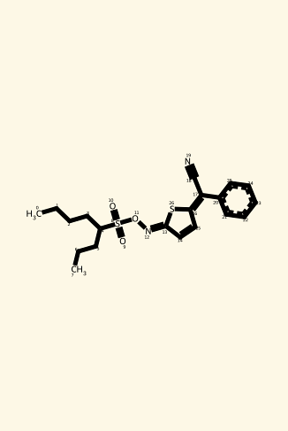 CCCCC(CCC)S(=O)(=O)ON=C1C=CC(=C(C#N)c2ccccc2)S1